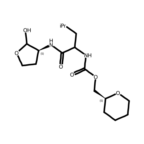 CC(C)CC(NC(=O)OC[C@@H]1CCCCO1)C(=O)N[C@H]1CCOC1O